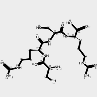 N=C(N)NCCC[C@H](NC(=O)[C@H](CS)NC(=O)[C@H](CCCNC(=N)N)NC(=O)[C@@H](N)CS)C(=O)O